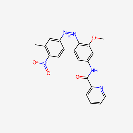 COc1cc(NC(=O)c2ccccn2)ccc1/N=N\c1ccc([N+](=O)[O-])c(C)c1